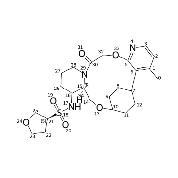 Cc1ccnc2c1C1CCC(CC1)OC[C@H]1C(NS(=O)(=O)[C@H]3CCOC3)CCCN1C(=O)CO2